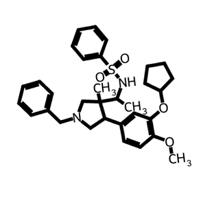 COc1ccc(C2CN(Cc3ccccc3)CC2(C)C(C)NS(=O)(=O)c2ccccc2)cc1OC1CCCC1